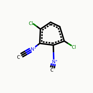 [C-]#[N+]c1c(Cl)ccc(Cl)c1[N+]#[C-]